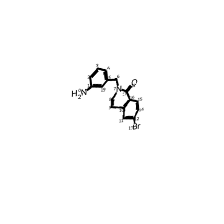 Nc1cccc(Cn2ccc3cc(Br)ccc3c2=O)c1